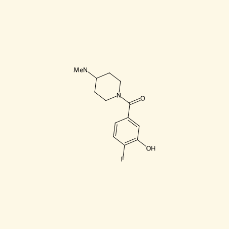 CNC1CCN(C(=O)c2ccc(F)c(O)c2)CC1